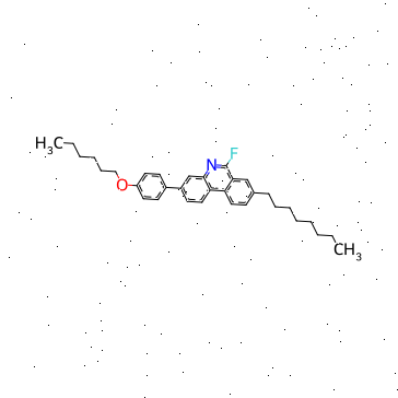 CCCCCCCCc1ccc2c(c1)c(F)nc1cc(-c3ccc(OCCCCCC)cc3)ccc12